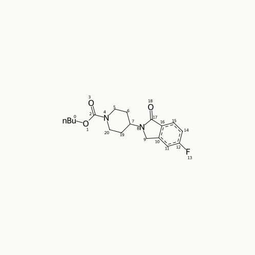 CCCCOC(=O)N1CCC(N2Cc3cc(F)ccc3C2=O)CC1